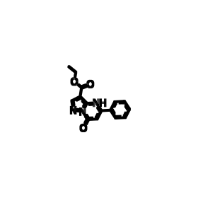 CCOC(=O)c1cnn2c(=O)cc(-c3ccccc3)[nH]c12